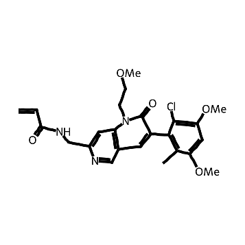 C=CC(=O)NCc1cc2c(cn1)cc(-c1c(C)c(OC)cc(OC)c1Cl)c(=O)n2CCOC